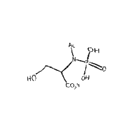 CC(=O)N(C(CO)C(=O)O)P(=O)(O)O